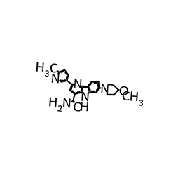 COC1CCN(c2ccc3c(c2)[nH]c2c(C(N)=O)cc(-c4ccc(C)nc4)nc23)CC1